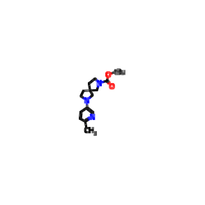 Cc1ccc(N2CCC3(CCN(C(=O)OC(C)(C)C)C3)C2)cn1